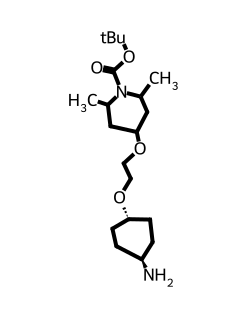 CC1CC(OCCO[C@H]2CC[C@H](N)CC2)CC(C)N1C(=O)OC(C)(C)C